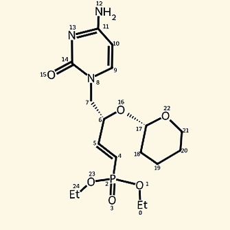 CCOP(=O)(C=C[C@H](Cn1ccc(N)nc1=O)O[C@H]1CCCCO1)OCC